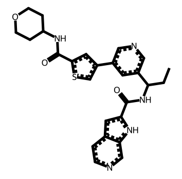 CCC(NC(=O)c1cc2ccncc2[nH]1)c1cncc(-c2csc(C(=O)NC3CCOCC3)c2)c1